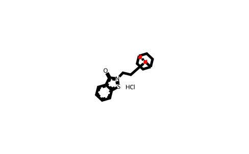 Cl.O=c1c2ccccc2sn1CCN1CC2CCC(CC2)C1